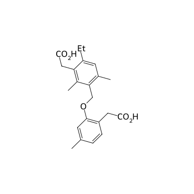 CCc1cc(C)c(COc2cc(C)ccc2CC(=O)O)c(C)c1CC(=O)O